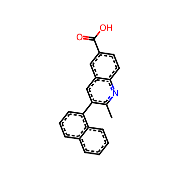 Cc1nc2ccc(C(=O)O)cc2cc1-c1cccc2ccccc12